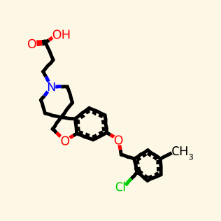 Cc1ccc(Cl)c(COc2ccc3c(c2)OCC32CCN(CCC(=O)O)CC2)c1